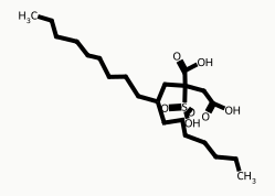 CCCCCCCCCC(CCCCCCC)CC(CC(=O)O)(C(=O)O)S(=O)(=O)O